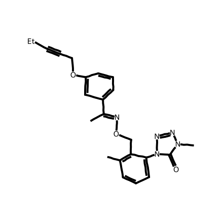 CCC#CCOc1cccc(C(C)=NOCc2c(C)cccc2-n2nnn(C)c2=O)c1